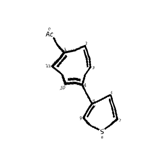 CC(=O)c1ccc(-c2c[c]sc2)cc1